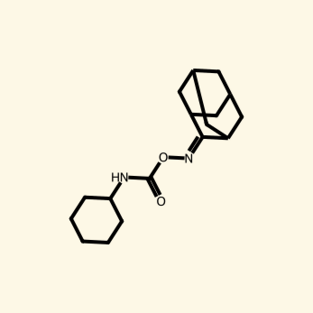 O=C(NC1CCCCC1)ON=C1C2CC3CC(C2)CC1C3